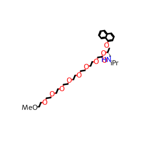 COCCOCCOCCOCCOCCOCCOCCOCC(=O)O[C@@H](CNC(C)C)COc1cccc2ccccc12